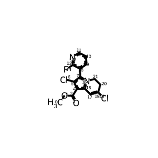 COC(=O)c1c(Cl)c(-c2cccnc2F)n2c1C=C(Cl)CC2